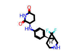 O=C1CC[C@@H](Nc2ccc([C@]34CCNC[C@H]3C4(F)F)cc2)C(=O)N1